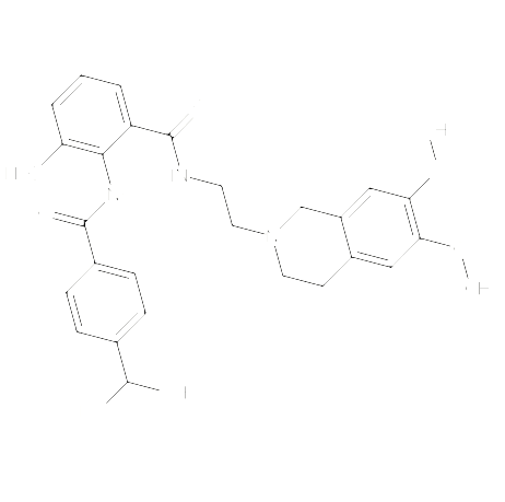 COc1cc2c(cc1OC)CN(CCNC(=O)c1cccc(C)c1NC(=O)c1ccc(C(C)C)cc1)CC2